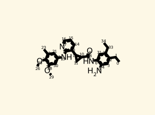 CCc1cc(N)c(NC(=O)C2CC2c2cccnc2Nc2cc(C)c(OC)c(OC)c2)cc1CC